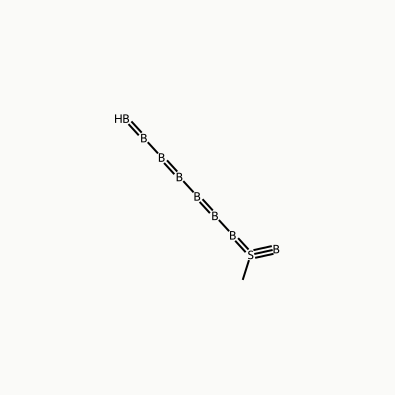 B#S(C)=BB=BB=BB=B